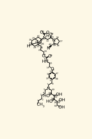 CCCCCCN(CCc1ccc(OCCNC(=O)OCCSC23CC4C[C@H](C2)CC(N(CC(=O)N2CCC[C@H]2C#N)C(=O)O)(C4)C3)cc1)C[C@H](O)[C@@H](O)[C@H](O)[C@H](O)CO